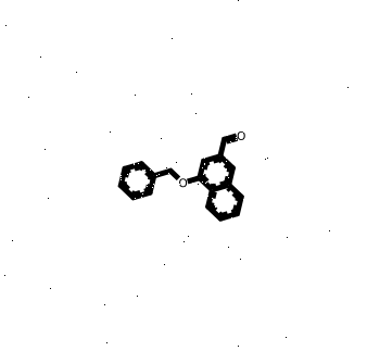 O=Cc1cc(OCc2ccccc2)c2ccccc2c1